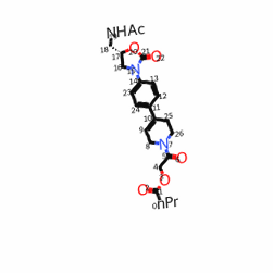 CCCC(=O)OCC(=O)N1CC=C(c2ccc(N3C[C@H](CNC(C)=O)OC3=O)cc2)CC1